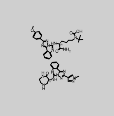 COc1ccc(-c2nc3c4ccccc4nc(N[C@@H](CCCCN(C(=O)O)C(C)(C)C)C(N)=O)n3n2)cc1.Cn1cc(-c2nc3c4ccccc4nc(N[C@H]4CNCCNC4=O)n3n2)cn1